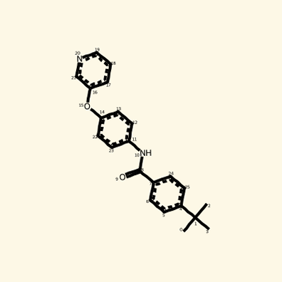 CC(C)(C)c1ccc(C(=O)Nc2ccc(Oc3cccnc3)cc2)cc1